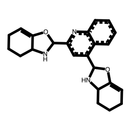 C1=C2OC(c3cc(C4NC5CCCC=C5O4)c4ccccc4n3)NC2CCC1